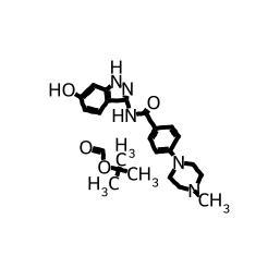 CC(C)(C)OC=O.CN1CCN(c2ccc(C(=O)Nc3n[nH]c4cc(O)ccc34)cc2)CC1